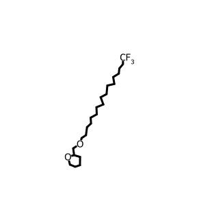 FC(F)(F)CCCCCCCCCCCCCCCCOCC1CCCCO1